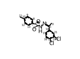 CC(=NNS(=O)(=O)c1ccc(C)cc1)c1ccc(Cl)c(Cl)c1